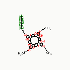 CCCCCOc1ccc(C2c3cc(c(O)cc3O)C(c3ccc(OCCCCC)cc3)c3cc(c(O)cc3O)C(c3ccc(OCCCCC(F)(F)C(F)(F)C(F)(F)C(F)(F)C(F)(F)C(F)(F)C(F)(F)C(F)(F)F)cc3)c3cc(c(O)cc3O)C(c3ccc(OCCCCC)cc3)c3cc2c(O)cc3O)cc1